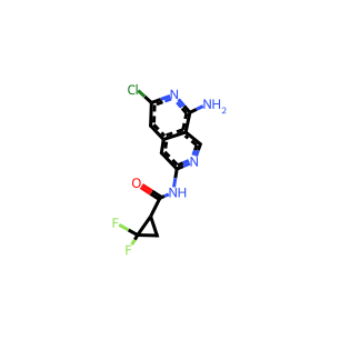 Nc1nc(Cl)cc2cc(NC(=O)C3CC3(F)F)ncc12